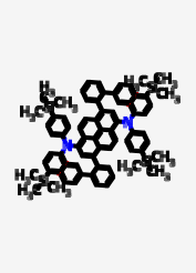 C[Si](C)(C)c1ccc(N(c2ccc([Si](C)(C)C)cc2)c2cc(-c3ccccc3-c3ccccc3)c3ccc4c(N(c5ccc([Si](C)(C)C)cc5)c5ccc([Si](C)(C)C)cc5)cc(-c5ccccc5-c5ccccc5)c5ccc2c3c54)cc1